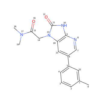 Cc1cccc(-c2cnc3[nH]c(=O)n(CC(=O)N(C)C)c3c2)c1